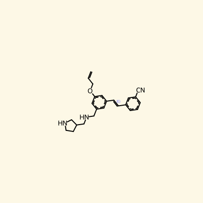 C=CCOc1cc(/C=C/c2cccc(C#N)c2)cc(CNCC2CCNC2)c1